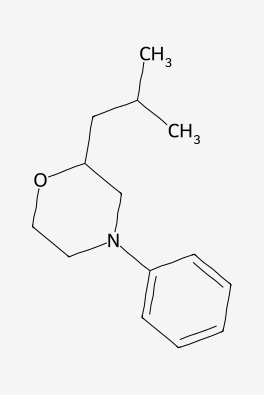 CC(C)CC1CN(c2ccccc2)CCO1